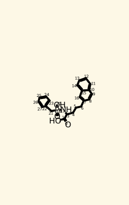 O=C(O)C(CCCc1ccc2ccccc2c1)NP(=O)(O)Cc1ccccc1